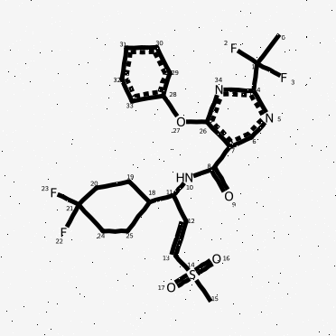 CC(F)(F)c1ncc(C(=O)NC(C=CS(C)(=O)=O)C2CCC(F)(F)CC2)c(Oc2ccccc2)n1